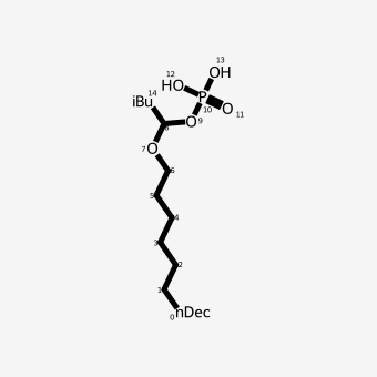 CCCCCCCCCCCCCCCCOC(OP(=O)(O)O)C(C)CC